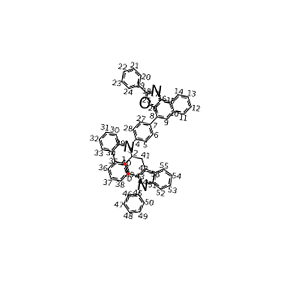 C1=CC(N(c2ccc(-c3cc4ccccc4c4nc(-c5ccccc5)oc34)cc2)c2ccccc2-c2ccccc2)Cc2c1n(-c1ccccc1)c1ccccc21